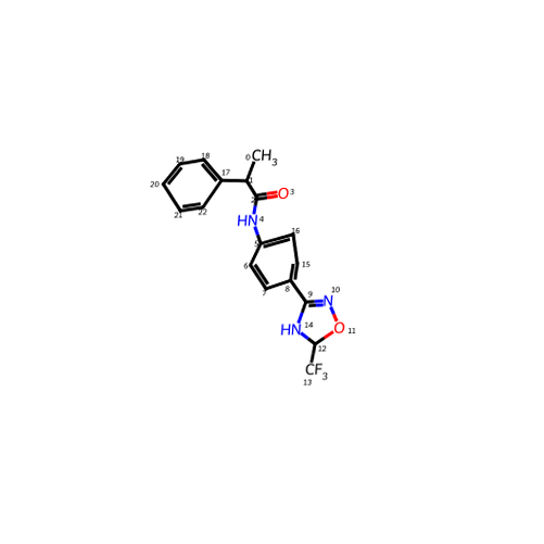 CC(C(=O)Nc1ccc(C2=NOC(C(F)(F)F)N2)cc1)c1ccccc1